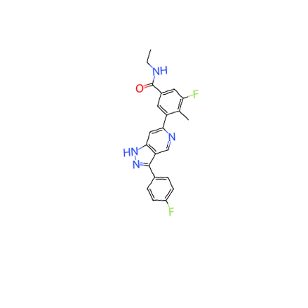 CCNC(=O)c1cc(F)c(C)c(-c2cc3[nH]nc(-c4ccc(F)cc4)c3cn2)c1